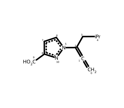 C=C=C(CC(C)C)n1ccc(C(=O)O)n1